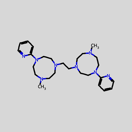 CN1CCN(CCN2CCN(C)CCN(c3ccccn3)CC2)CCN(c2ccccn2)CC1